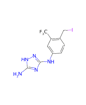 Nc1nc(Nc2ccc(CI)c(C(F)(F)F)c2)n[nH]1